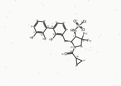 CCS(=O)(=O)N[C@@H]1[C@H](Cc2cccc(-c3cccc(F)c3F)c2F)N(C(=O)C2CC2)CC1(F)F